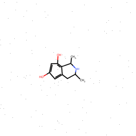 CC1Cc2cc(O)cc(O)c2C(C)N1